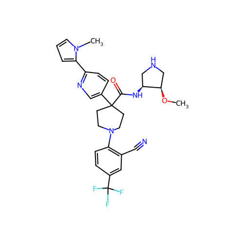 CO[C@@H]1CNC[C@@H]1NC(=O)C1(c2ccc(-c3cccn3C)nc2)CCN(c2ccc(C(F)(F)F)cc2C#N)CC1